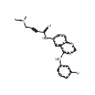 CN(C)CC#CC(=O)Nc1ccc2ncnc(Nc3cccc(Br)c3)c2c1